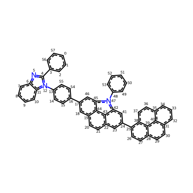 c1ccc(-c2nc3ccccc3n2-c2ccc(-c3cc4ccc5cc(-c6ccc7ccc8cccc9ccc6c7c89)cc6c5c4c(c3)n6-c3ccccc3)cc2)cc1